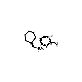 CN/C=C1/CCCC[C@@H]1c1ccc(Cl)nc1